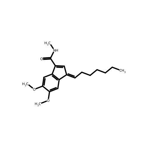 CCCCCC/C=C1\C=C(C(=O)NC)c2cc(OC)c(OC)cc21